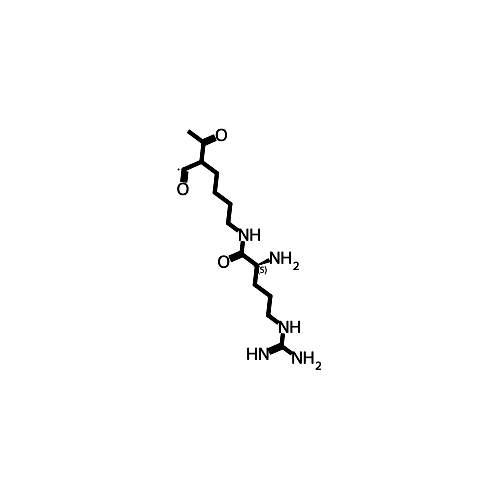 CC(=O)C([C]=O)CCCCNC(=O)[C@@H](N)CCCNC(=N)N